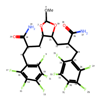 COC1OC(CC(Cc2c(F)c(F)c(F)c(F)c2F)C(N)=O)C(CC(Cc2c(F)c(F)c(F)c(F)c2F)C(N)=O)O1